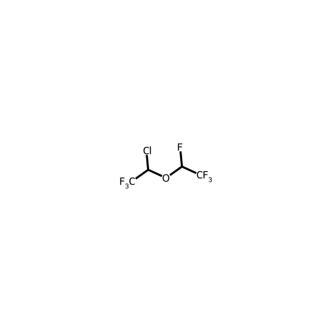 FC(OC(Cl)C(F)(F)F)C(F)(F)F